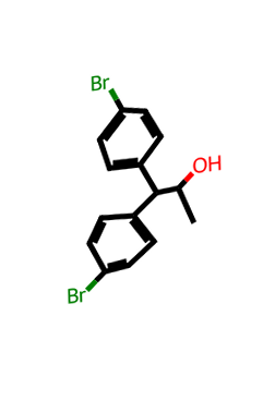 CC(O)C(c1ccc(Br)cc1)c1ccc(Br)cc1